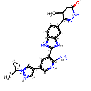 CC1CC(=O)NN=C1c1ccc2[nH]c(-c3cc(-c4cnn(C(C)C)c4)cnc3N)nc2c1